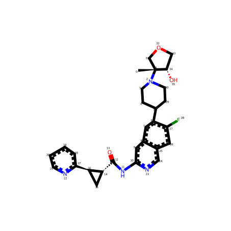 C[C@@]1(N2CCC(c3cc4cc(NC(=O)[C@@H]5C[C@H]5c5ccccn5)ncc4cc3F)CC2)COC[C@@H]1O